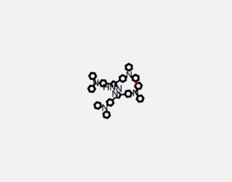 C1=C(c2ccc(N(c3ccccc3)c3ccccc3)cc2)/C(=N/c2[nH]c(-c3ccc(N(c4ccccc4)c4ccccc4)cc3)cc2-c2ccc(N(c3ccccc3)c3ccccc3)cc2)N=C1c1ccc(N(c2ccccc2)c2ccccc2)cc1